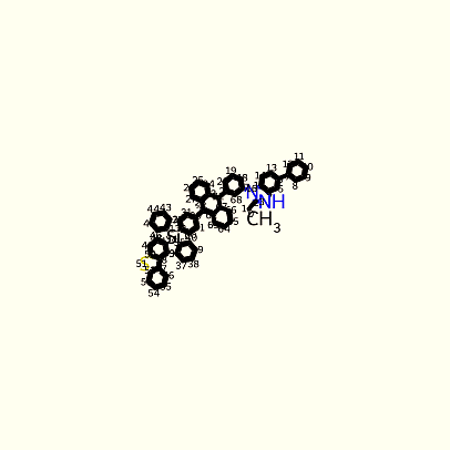 CCC1Nc2cc(-c3ccccc3)ccc2N1c1cccc(C2c3ccccc3C(c3ccc([Si](c4ccccc4)(c4ccccc4)c4ccc5sc6ccccc6c5c4)cc3)=C3C=CC=CC32)c1